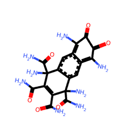 NC(=O)C1=C(C(N)=O)C(N)(C(N)=O)c2cc3c(cc2C1(N)C(N)=O)=C(N)C(=O)C(=O)C=3N